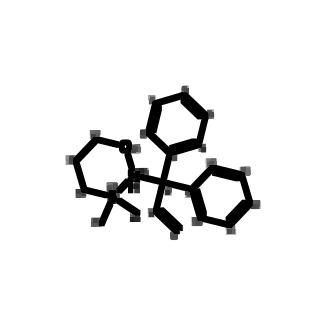 C=CC(c1ccccc1)(c1ccccc1)[SiH]1OCCC[Si]1(C)C